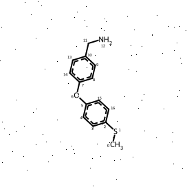 CSc1ccc(Oc2ccc(CN)cc2)cc1